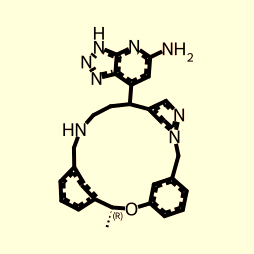 C[C@H]1Oc2cccc(c2)Cn2cc(cn2)C(c2cc(N)nc3[nH]nnc23)CCNCc2cccc1c2